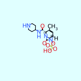 CC1=C[C@@H]2CN(C(=O)N2OS(=O)(=O)O)[C@@H]1C(=O)NC1CCNCC1